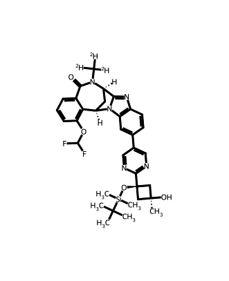 [2H]C([2H])([2H])N1C(=O)c2cccc(OC(F)F)c2[C@H]2C[C@@H]1c1nc3ccc(-c4cnc([C@]5(O[Si](C)(C)C(C)(C)C)C[C@@](C)(O)C5)nc4)cc3n12